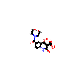 O=C(O)c1c(O)c2cc(C(=O)N3CCOCC3)ccc2[nH]c1=O